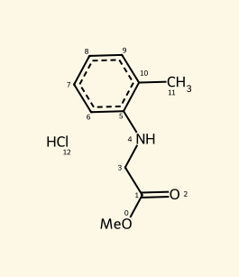 COC(=O)CNc1ccccc1C.Cl